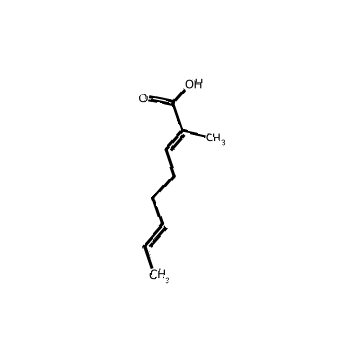 C/C=C/CC/C=C(\C)C(=O)O